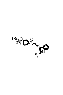 CC(C)(C)S(=O)(=O)N[C@H]1CC[C@H](C(=O)NCCSc2cc(C(F)(F)F)nc3ccccc23)CC1